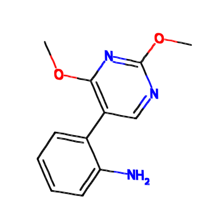 COc1ncc(-c2ccccc2N)c(OC)n1